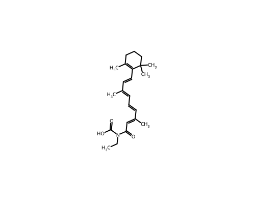 CCN(C(=O)O)C(=O)C=C(C)C=CC=C(C)C=CC1=C(C)CCCC1(C)C